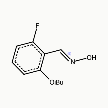 CC(C)COc1cccc(F)c1/C=N/O